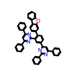 c1ccc(-c2cc(-c3ccc(-c4ccc5c(c4)oc4ccccc45)c(-c4nc(-c5ccccc5)cc(-c5ccccc5)n4)c3)nc(-c3ccccc3)n2)cc1